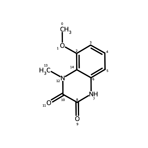 COc1cccc2[nH]c(=O)c(=O)n(C)c12